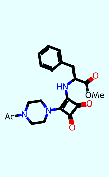 COC(=O)C(Cc1ccccc1)Nc1c(N2CCN(C(C)=O)CC2)c(=O)c1=O